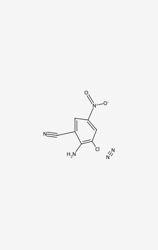 N#Cc1cc([N+](=O)[O-])cc(Cl)c1N.N#N